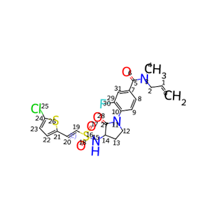 C=CCN(C)C(=O)c1ccc(N2CCC(NS(=O)(=O)/C=C/c3ccc(Cl)s3)C2=O)c(F)c1